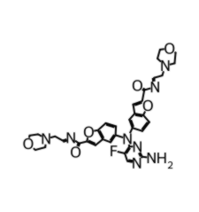 Nc1ncc(F)c(N(c2ccc3oc(C(=O)N=CCN4CCOCC4)cc3c2)c2ccc3oc(C(=O)N=CCN4CCOCC4)cc3c2)n1